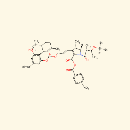 C=C(C)[C@@H]1CCC(C)=C[C@H]1c1c(O)cc(CCCCC)cc1OC(=O)OC/C=C/C1=C(C(=O)OC(=O)c2ccc([N+](=O)[O-])cc2)N2C(=O)[C@](C)(C(C)O[Si](CC)(CC)CC)[C@H]2[C@H]1C